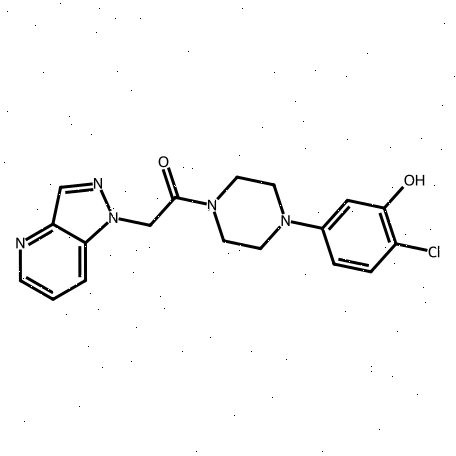 O=C(Cn1ncc2ncccc21)N1CCN(c2ccc(Cl)c(O)c2)CC1